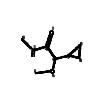 CNC(=O)C(OC)C1CC1